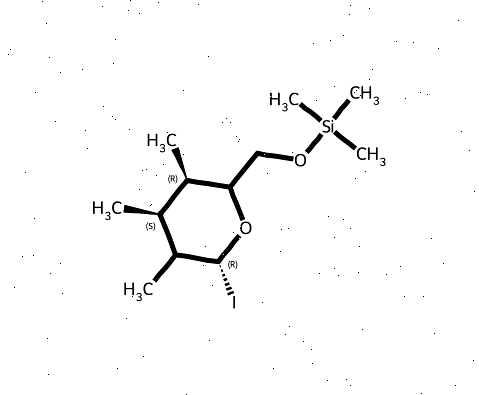 CC1[C@@H](C)[C@@H](C)C(CO[Si](C)(C)C)O[C@@H]1I